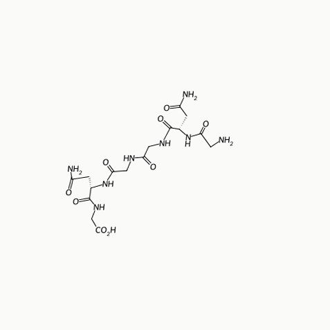 NCC(=O)N[C@@H](CC(N)=O)C(=O)NCC(=O)NCC(=O)N[C@@H](CC(N)=O)C(=O)NCC(=O)O